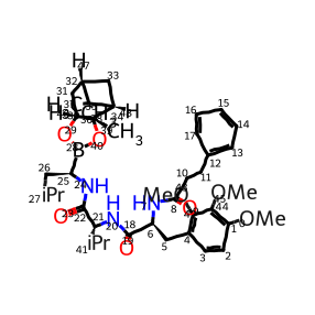 COc1ccc(C[C@H](NC(=O)CCc2ccccc2)C(=O)N[C@H](C(=O)N[C@@H](CC(C)C)B2O[C@@H]3C[C@@H]4C[C@@H](C4(C)C)[C@]3(C)O2)C(C)C)c(OC)c1OC